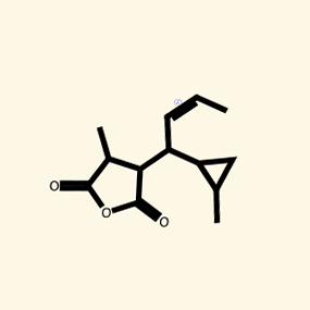 C/C=C\C(C1CC1C)C1C(=O)OC(=O)C1C